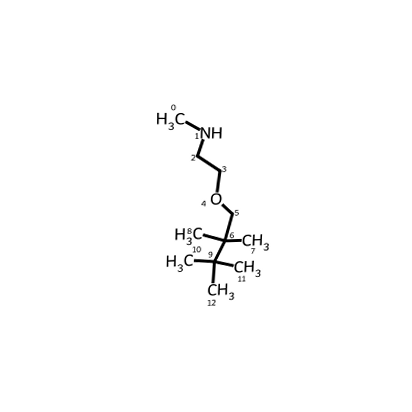 CNCCOCC(C)(C)C(C)(C)C